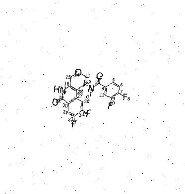 CN(C(=O)c1ccc(F)c(F)c1)[C@H]1COCc2[nH]c(=O)c3cc(F)c(F)cc3c21